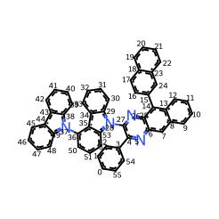 c1ccc(-c2nc3cc4ccccc4c(-c4ccc5ccccc5c4)c3nc2-n2c3ccccc3c3c(-n4c5ccccc5c5ccccc54)cccc32)cc1